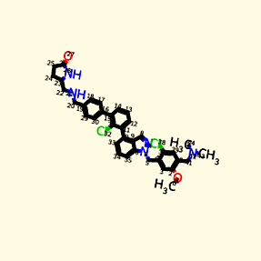 COc1cc(Cn2ncc3c(-c4cccc(-c5ccc(CNCC6CCC(=O)N6)cc5)c4Cl)cccc32)c(Cl)cc1CN(C)C